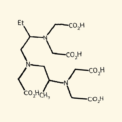 CCC(CN(CC(=O)O)CC(C)N(CC(=O)O)CC(=O)O)N(CC(=O)O)CC(=O)O